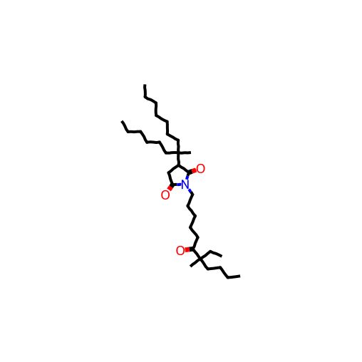 CCCCCCCC(C)(CCCCCC)C1CC(=O)N(CCCCCC(=O)C(C)(CC)CCCC)C1=O